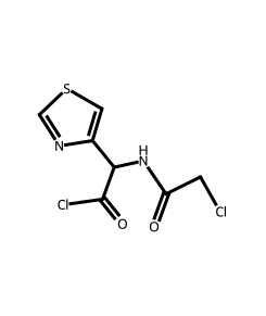 O=C(CCl)NC(C(=O)Cl)c1cscn1